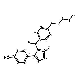 CCCCCc1ccc(C(C)n2c(C)ccc2-c2ccc(O)cc2)cc1